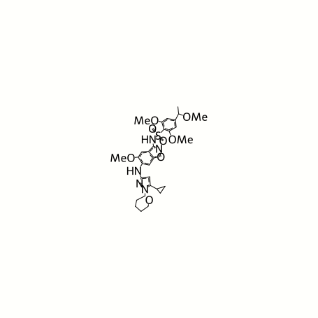 COc1cc2c(NS(=O)(=O)c3c(OC)cc(C(C)OC)cc3OC)noc2cc1Nc1cc(C2CC2)n(C2CCCCO2)n1